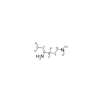 CC(C)CC(N)C(C)(C)CCN(C)C